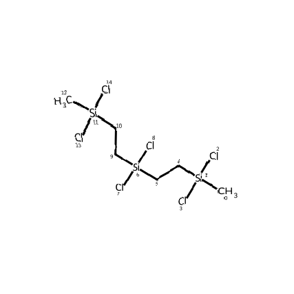 C[Si](Cl)(Cl)CC[Si](Cl)(Cl)CC[Si](C)(Cl)Cl